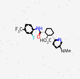 CNc1ccc([C@H]2CCC[C@@H](C(=O)Nc3ccc(C(F)(F)F)cc3F)[C@@H]2C(=O)O)nc1